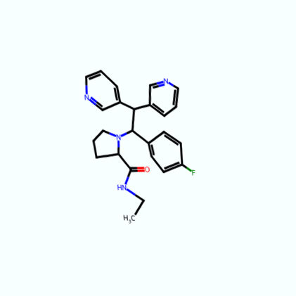 CCNC(=O)C1CCCN1C(c1ccc(F)cc1)C(c1cccnc1)c1cccnc1